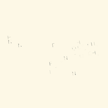 CC(C)(C)OC(=O)C(c1cccnc1C1CC(F)(F)C1)N1CCC(C(F)CCCCc2ccc3c(n2)NCCC3)C1